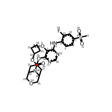 COc1c(Nc2ccc(S(C)(=O)=O)cc2F)ncnc1OC1CC2COCC(C1)N2C(=O)OC1CCC1